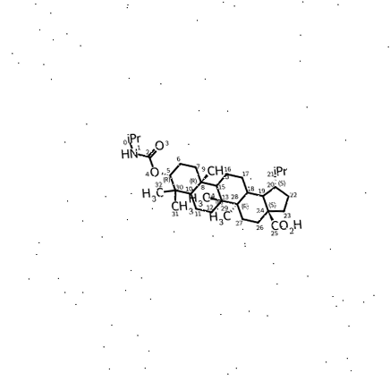 CC(C)NC(=O)O[C@@H]1CC[C@@]2(C)C(CC[C@]3(C)C2CCC2C4[C@H](C(C)C)CC[C@]4(C(=O)O)CC[C@]23C)C1(C)C